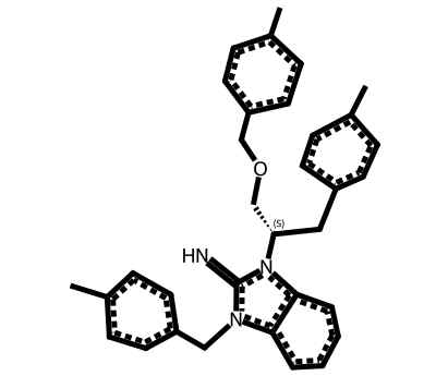 Cc1ccc(COC[C@H](Cc2ccc(C)cc2)n2c(=N)n(Cc3ccc(C)cc3)c3ccccc32)cc1